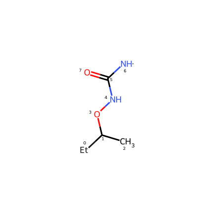 CCC(C)ONC([NH])=O